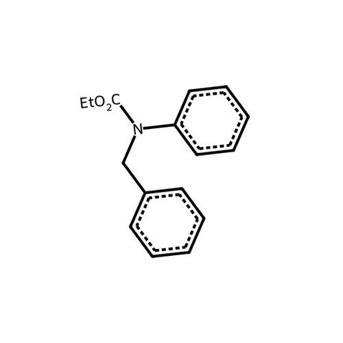 CCOC(=O)N(Cc1ccccc1)c1ccccc1